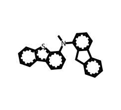 CN(c1cccc2c1Cc1ccccc1-2)c1cccc2c1sc1ccccc12